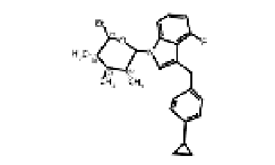 CC[C@H]1OC(n2cc(Cc3ccc(C4CC4)cc3)c3c(F)cccc32)[C@H](C)[C@@H](C)[C@@H]1C